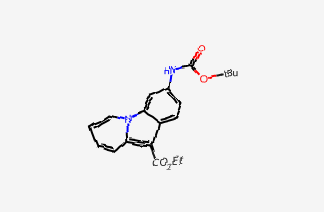 CCOC(=O)c1c2ccc(NC(=O)OC(C)(C)C)cc2n2ccccc12